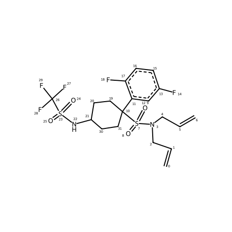 C=CCN(CC=C)S(=O)(=O)C1(c2cc(F)ccc2F)CCC(NS(=O)(=O)C(F)(F)F)CC1